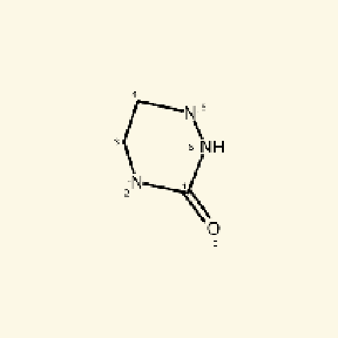 O=C1[N]CC[N]N1